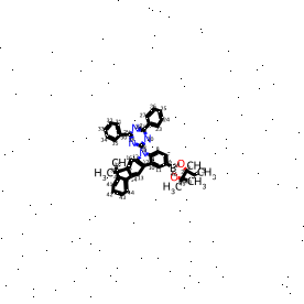 CCC1(C)OB(c2ccc3c(c2)c2cc4c(cc2n3-c2nc(-c3ccccc3)nc(-c3ccccc3)n2)C(C)(C)c2ccccc2-4)OC1(C)C